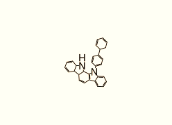 C1=CCC(c2ccc(-n3c4c(c5ccccc53)C=CC3C4NC4C=CC=CC43)cc2)C=C1